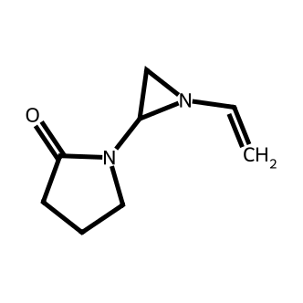 C=CN1CC1N1CCCC1=O